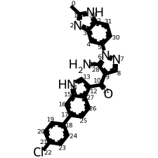 Cc1nc2cc(-n3ncc(C(=O)c4c[nH]c5cc(-c6ccc(Cl)cc6)ccc45)c3N)ccc2[nH]1